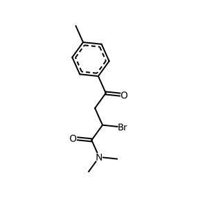 Cc1ccc(C(=O)CC(Br)C(=O)N(C)C)cc1